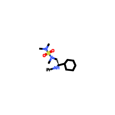 CC(C)N[C@H](CN(C)S(=O)(=O)N(C)C)C1CCCCC1